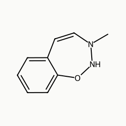 Cn1ccc2ccccc2o[nH]1